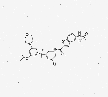 CC(C)Oc1cc(N2CCOCC2)cc(C(C)(C)c2cc(Cl)cc(NC(=O)c3cc4cc(NS(C)(=O)=O)ccc4s3)c2)c1